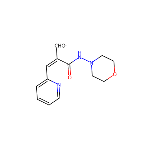 O=[C]C(=Cc1ccccn1)C(=O)NN1CCOCC1